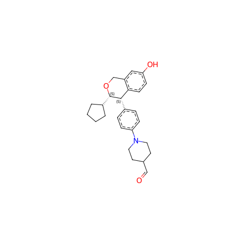 O=CC1CCN(c2ccc([C@H]3c4ccc(O)cc4CO[C@H]3C3CCCC3)cc2)CC1